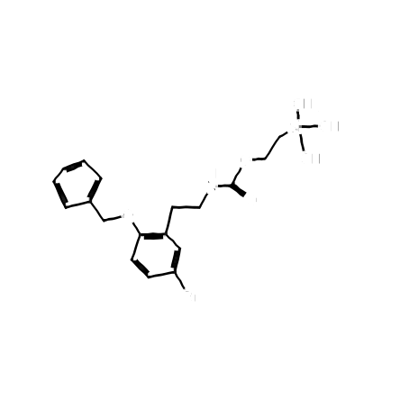 C[Si](C)(C)CCOC(=O)NCCc1cc(Br)ccc1OCc1ccccc1